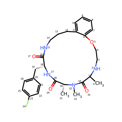 CC1NCCOc2ccccc2CCCNC(=O)[C@@H](Cc2ccc(F)cc2)NC(=O)[C@@H](C)N(C)C1=O